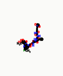 CC[C@@]1(O)C(=O)OCc2c1cc1n(c2=O)Cc2c-1nc1cc(F)c(C)c3c1c2[C@@H](NC(=O)COCNC(=O)CNC(=O)[C@H](CCc1ccccc1)NC(=O)CNC(=O)CNC(=O)CCCCCN1C(=O)C=CC1=O)CC3